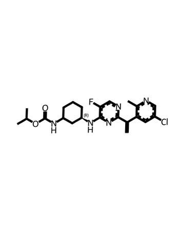 C=C(c1ncc(F)c(N[C@@H]2CCCC(NC(=O)OC(C)C)C2)n1)c1cc(Cl)cnc1C